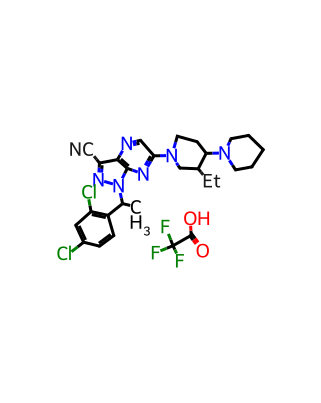 CCC1CN(c2cnc3c(C#N)nn(C(C)c4ccc(Cl)cc4Cl)c3n2)CCC1N1CCCCC1.O=C(O)C(F)(F)F